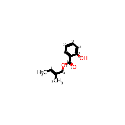 CC=C(C)COC(=O)c1ccccc1O